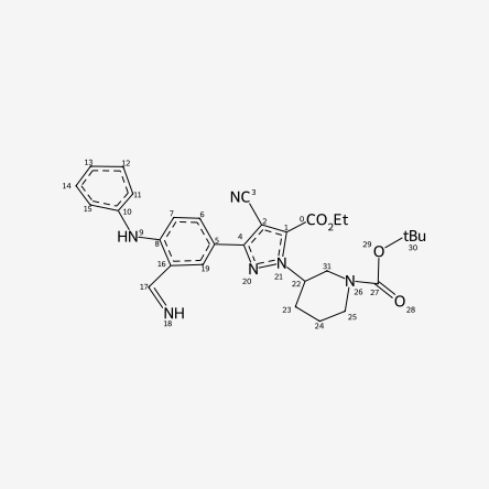 CCOC(=O)c1c(C#N)c(-c2ccc(Nc3ccccc3)c(C=N)c2)nn1C1CCCN(C(=O)OC(C)(C)C)C1